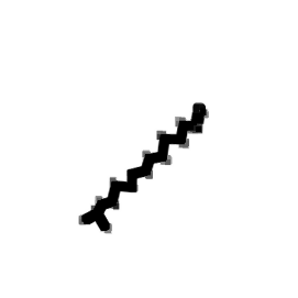 CC(C)CCCCCCCCCCCN=O